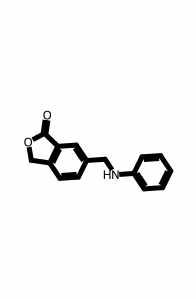 O=C1OCc2ccc(CNc3ccccc3)cc21